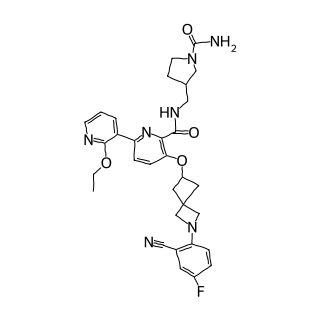 CCOc1ncccc1-c1ccc(OC2CC3(C2)CN(c2ccc(F)cc2C#N)C3)c(C(=O)NCC2CCN(C(N)=O)C2)n1